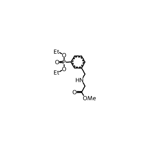 CCOP(=O)(OCC)c1cccc(CNCC(=O)OC)c1